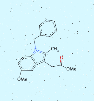 COC(=O)Cc1c(C)n(Cc2ccccc2)c2ccc(OC)cc12